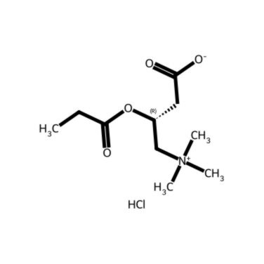 CCC(=O)O[C@H](CC(=O)[O-])C[N+](C)(C)C.Cl